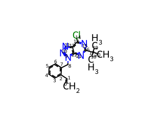 C=Cc1ccccc1Cn1nnc2c(Cl)nc(C(C)(C)C)nc21